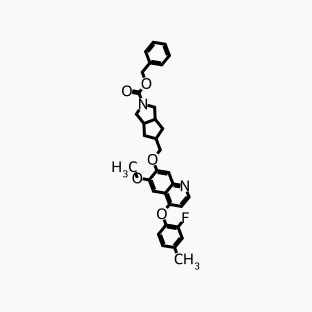 COc1cc2c(Oc3ccc(C)cc3F)ccnc2cc1OCC1CC2CN(C(=O)OCc3ccccc3)CC2C1